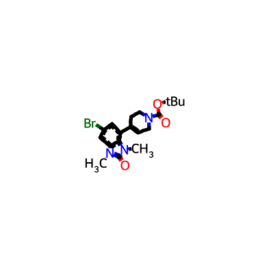 Cn1c(=O)n(C)c2c(C3=CCN(C(=O)OC(C)(C)C)CC3)cc(Br)cc21